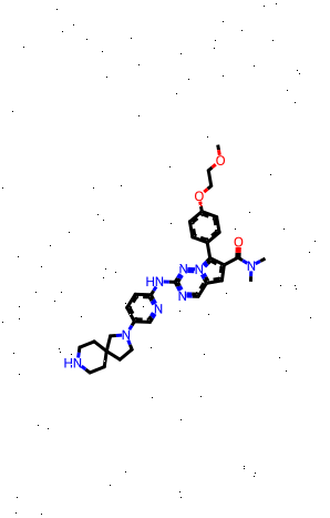 COCCOc1ccc(-c2c(C(=O)N(C)C)cc3cnc(Nc4ccc(N5CCC6(CCNCC6)C5)cn4)nn23)cc1